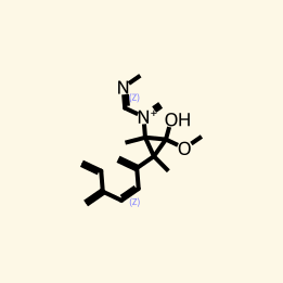 C=CC(=C)/C=C\C(=C)C1(C)C(O)(OC)C1(C)[N+](=C)/C=N\C